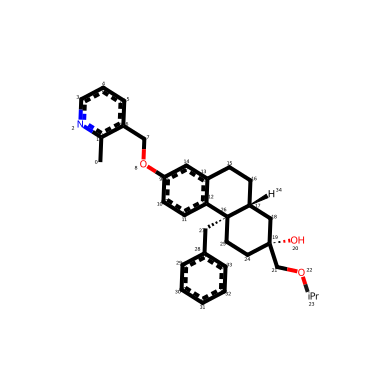 Cc1ncccc1COc1ccc2c(c1)CC[C@@H]1C[C@@](O)(COC(C)C)CC[C@@]21Cc1ccccc1